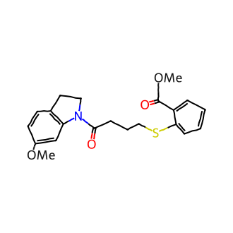 COC(=O)c1ccccc1SCCCC(=O)N1CCc2ccc(OC)cc21